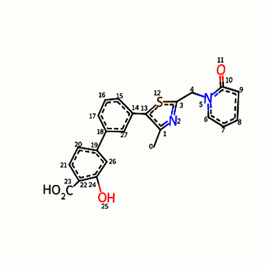 Cc1nc(Cn2ccccc2=O)sc1-c1cccc(-c2ccc(C(=O)O)c(O)c2)c1